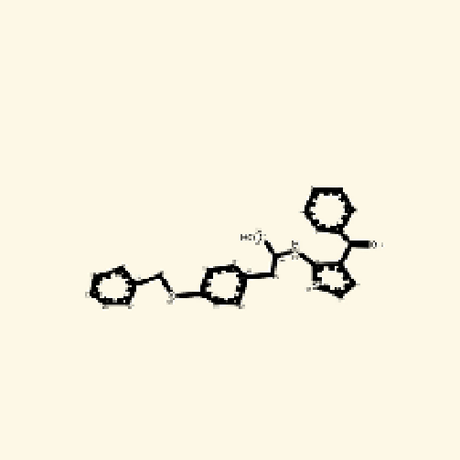 O=C(c1ccccc1)c1ccsc1NC(Cc1ccc(OCc2ccccc2)cc1)C(=O)O